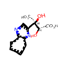 O=C(O)[C@H](O)[C@@](O)(C(=O)O)c1cnc2ccccc2n1